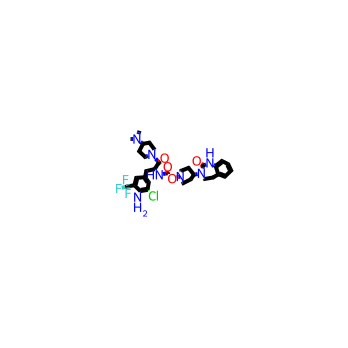 CN(C)C1CCN(C(=O)C(Cc2cc(Cl)c(N)c(C(F)(F)F)c2)NC(=O)ON2CCC(N3CCc4ccccc4NC3=O)CC2)CC1